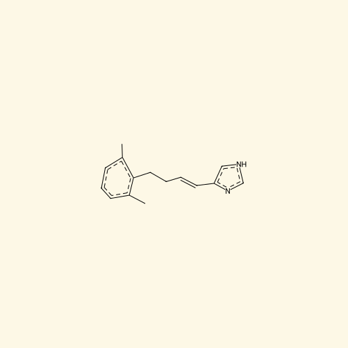 Cc1cccc(C)c1CCC=Cc1c[nH]cn1